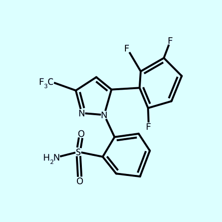 NS(=O)(=O)c1ccccc1-n1nc(C(F)(F)F)cc1-c1c(F)ccc(F)c1F